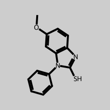 COc1ccc2nc(S)n(-c3ccccc3)c2c1